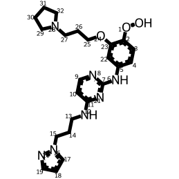 OOc1ccc(Nc2nccc(NCCCn3cccn3)n2)cc1OCCCN1CCCC1